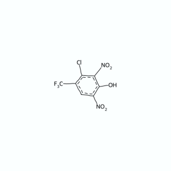 O=[N+]([O-])c1cc(C(F)(F)F)c(Cl)c([N+](=O)[O-])c1O